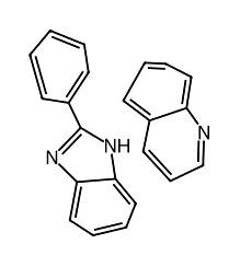 c1ccc(-c2nc3ccccc3[nH]2)cc1.c1ccc2ncccc2c1